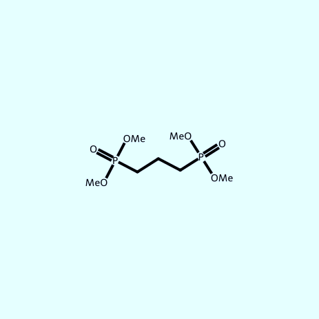 COP(=O)(CCCP(=O)(OC)OC)OC